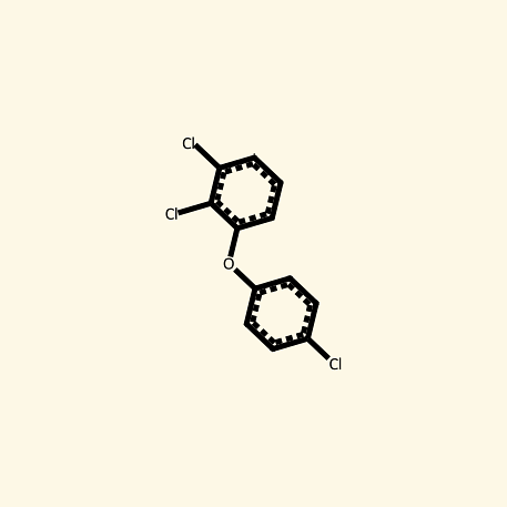 Clc1ccc(Oc2cc[c]c(Cl)c2Cl)cc1